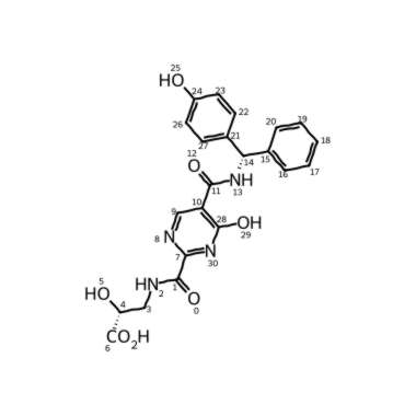 O=C(NC[C@@H](O)C(=O)O)c1ncc(C(=O)N[C@@H](c2ccccc2)c2ccc(O)cc2)c(O)n1